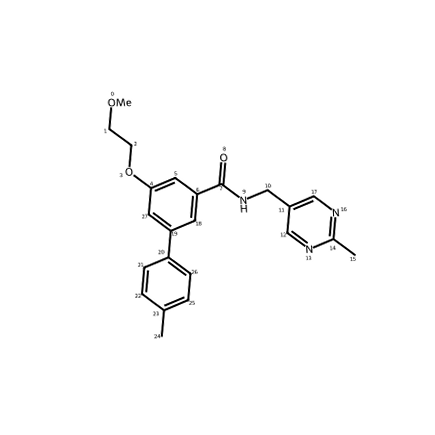 COCCOc1cc(C(=O)NCc2cnc(C)nc2)cc(-c2ccc(C)cc2)c1